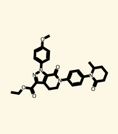 CCOC(=O)c1nn(-c2ccc(OC)cc2)c2c1CCN(c1ccc(N3C(=O)CCCC3C)cc1)C2=O